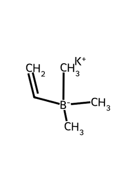 C=C[B-](C)(C)C.[K+]